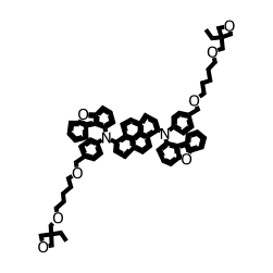 CCC1(COCCCCCOCc2ccc(N(c3ccc4ccc5c(N(c6ccc(COCCCCCOCC7(CC)COC7)cc6)c6cccc7oc8ccccc8c67)ccc6ccc3c4c65)c3cccc4oc5ccccc5c34)cc2)COC1